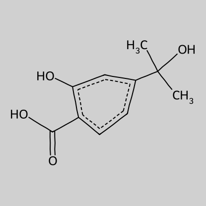 CC(C)(O)c1ccc(C(=O)O)c(O)c1